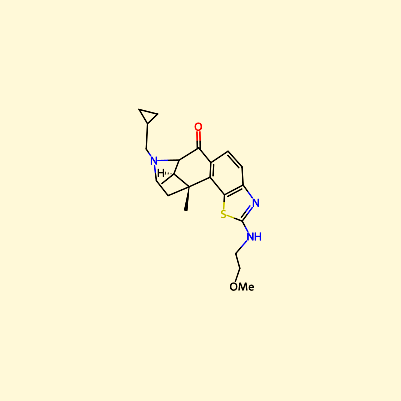 COCCNc1nc2ccc3c(c2s1)[C@]1(C)CCN(CC2CC2)C(C3=O)[C@@H]1C